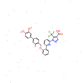 COc1ccc(-c2ccc(COc3ccccc3-c3cccc(-n4ncc(C(=O)O)c4C(F)(F)F)n3)c(C)c2)cc1OC